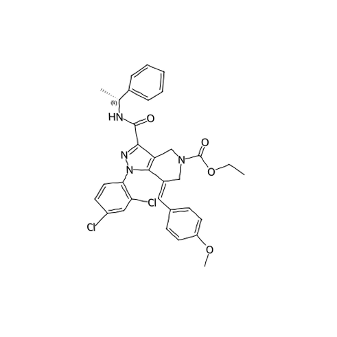 CCOC(=O)N1CC(=Cc2ccc(OC)cc2)c2c(c(C(=O)N[C@H](C)c3ccccc3)nn2-c2ccc(Cl)cc2Cl)C1